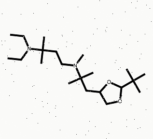 CCN(CC)C(C)(C)CCN(C)C(C)(C)CC1COC(C(C)(C)C)O1